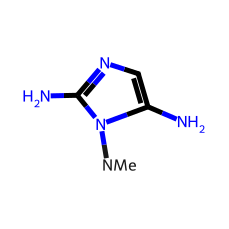 CNn1c(N)cnc1N